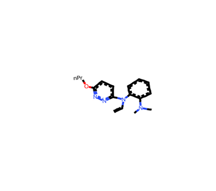 C=CN(c1ccc(OCCC)nn1)c1ccccc1N(C)C